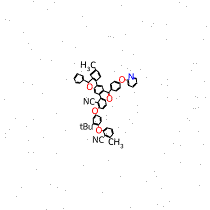 Cc1ccc(-c2ccc(-c3cccc(Oc4ccc(Oc5cccc(C)c5C#N)c(C(C)(C)C)c4)c3C#N)c(C(=O)c3ccc(Oc4ccccn4)cc3)c2)c(C(=O)c2ccccc2)c1